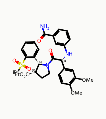 CCOC(=O)[C@H]1CCN(C(=O)[C@H](Nc2cccc(C(N)=O)c2)c2ccc(OC)c(OC)c2)[C@H]1c1ccccc1S(=O)(=O)C(C)C